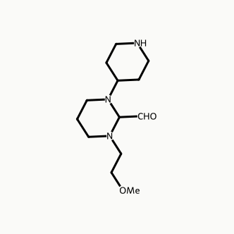 COCCN1CCCN(C2CCNCC2)C1C=O